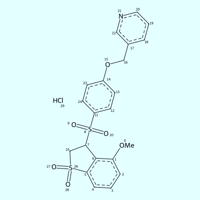 COc1cccc2c1C(S(=O)(=O)c1ccc(OCc3cccnc3)cc1)CS2(=O)=O.Cl